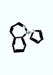 C1=Cc2ccccc2NN=C1.c1ccsc1